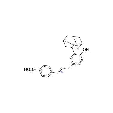 O=C(O)c1ccc(/C=C/Cc2ccc(O)c(C34CC5CC(CC(C5)C3)C4)c2)cc1